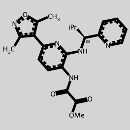 COC(=O)C(=O)Nc1ccc(-c2c(C)noc2C)nc1N[C@H](c1ccccn1)C(C)C